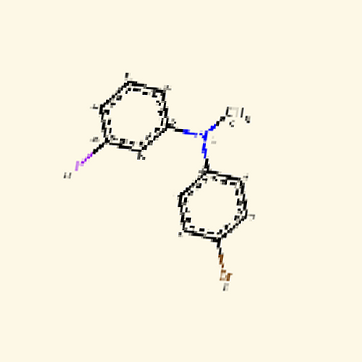 CN(c1ccc(Br)cc1)c1cccc(I)c1